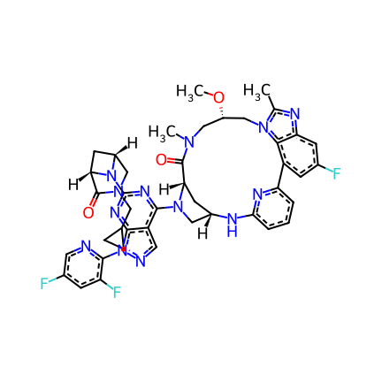 CO[C@H]1CN(C)C(=O)[C@@H]2C[C@@H](CN2c2nc(N3[C@@H]4C[C@H]3C(=O)N(CC3CC3)C4)nc3c2cnn3-c2ncc(F)cc2F)Nc2cccc(n2)-c2cc(F)cc3nc(C)n(c23)C1